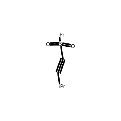 CC(C)C#CS(=O)(=O)C(C)C